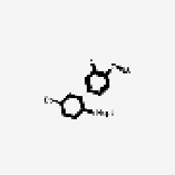 CCCCCCCC1CC[C@@H](CC)C[C@@H]1c1ccc(OCC)c(F)c1